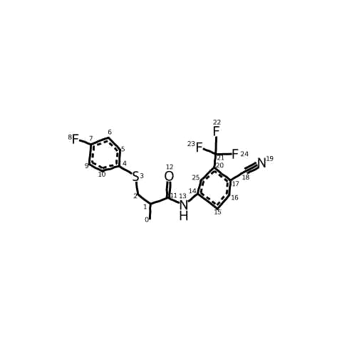 CC(CSc1ccc(F)cc1)C(=O)Nc1ccc(C#N)c(C(F)(F)F)c1